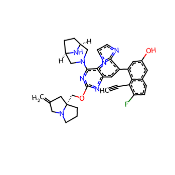 C#Cc1c(F)ccc2cc(O)cc(-c3cc4nc(OC[C@]56CCCN5CC(=C)C6)nc(N5C[C@H]6CC[C@@H](C5)N6)c4n4ccnc34)c12